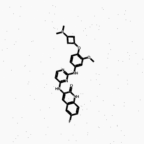 COc1cc(Nc2nccc(Nc3cc4cc(F)ccc4[nH]c3=O)n2)ccc1OC1CC(N(C)C)C1